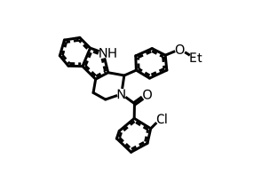 CCOc1ccc(C2c3[nH]c4ccccc4c3CCN2C(=O)c2ccccc2Cl)cc1